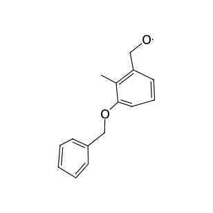 Cc1c(C[O])cccc1OCc1ccccc1